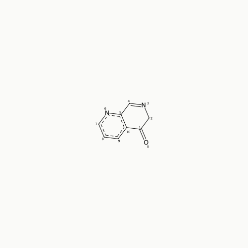 O=C1CN=Cc2ncccc21